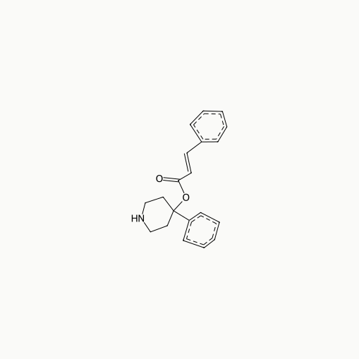 O=C(/C=C/c1ccccc1)OC1(c2ccccc2)CCNCC1